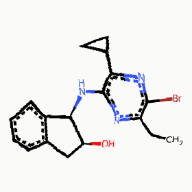 CCc1nc(N[C@@H]2c3ccccc3C[C@@H]2O)c(C2CC2)nc1Br